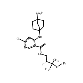 CCCOC(C)(C)[C@H](F)CNC(=O)c1cnc(Cl)cc1NC12CCC(C(=O)O)(CC1)CC2